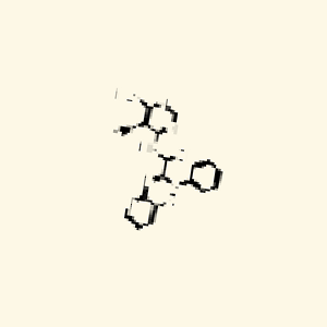 CC(Nc1ncnc(N)c1C#N)C1=Nc2ncccc2SN1c1ccccc1